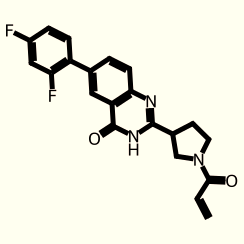 C=CC(=O)N1CCC(c2nc3ccc(-c4ccc(F)cc4F)cc3c(=O)[nH]2)C1